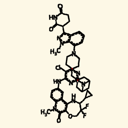 Cn1nc(C2CCC(=O)NC2=O)c2cccc(N3CCC(CN4CC5CC(C4)N5c4ncc(Cl)c(Nc5ccc6c(c5)c5c(c(=O)n6C)OCC(F)(F)C(C6CC6)N5)n4)CC3)c21